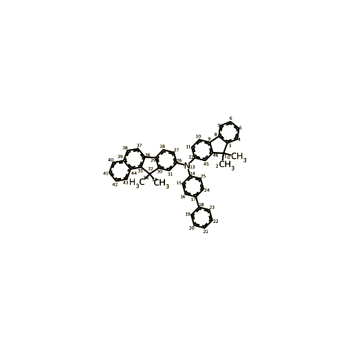 CC1(C)c2ccccc2-c2ccc(N(c3ccc(-c4ccccc4)cc3)c3ccc4c(c3)C(C)(C)c3c-4ccc4ccccc34)cc21